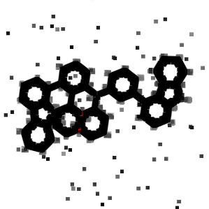 c1ccc(-c2c(-c3cccc4c3oc3ccccc34)cccc2N(c2ccccc2)c2cccc(-c3cccc4sc5ccccc5c34)c2)cc1